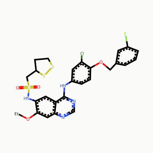 CCOc1cc2ncnc(Nc3ccc(OCc4cccc(F)c4)c(Cl)c3)c2cc1NS(=O)(=O)CC1CCSS1